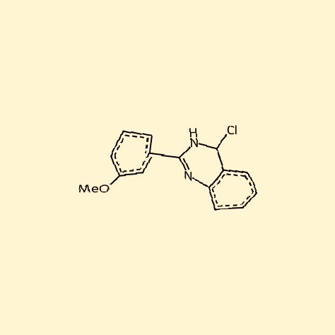 COc1cccc(C2=Nc3ccccc3C(Cl)N2)c1